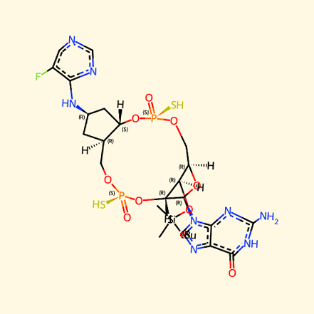 CC(C)(C)[Si](C)(C)O[C@H]1[C@H]2O[P@@](=O)(S)OC[C@H]3C[C@@H](Nc4ncncc4F)C[C@@H]3O[P@@](=O)(S)OC[C@H]1O[C@H]2n1cnc2c(=O)[nH]c(N)nc21